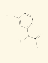 [CH2]c1cccc([C](C#N)C(N)=O)c1